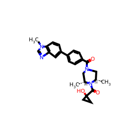 C[C@@H]1CN(C(=O)c2ccc(-c3ccc4c(c3)ncn4C)cc2)C[C@H](C)N1C(=O)C1(O)CC1